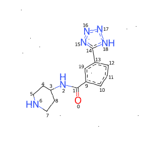 O=C(NC1CCNCC1)c1cccc(-c2nnn[nH]2)c1